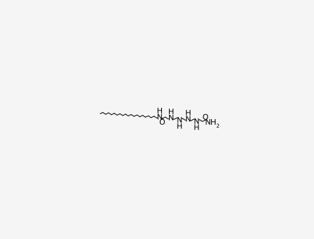 CCCCCCCCCCCCCCCCCCCCCNC(=O)CCNCCNCCNCCNCCC(N)=O